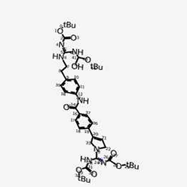 CC(C)(C)OC(=O)/N=C(/NCCc1ccc(NC(=O)c2ccc(C3=CCN(/C(=N\C(=O)OC(C)(C)C)NC(=O)OC(C)(C)C)C3)cc2)cc1)NC(O)OC(C)(C)C